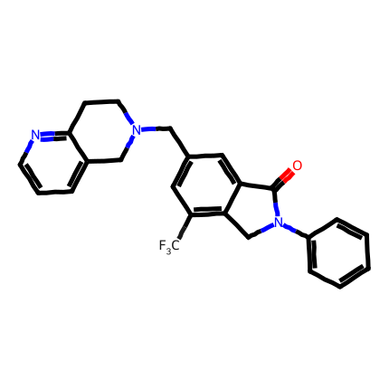 O=C1c2cc(CN3CCc4ncccc4C3)cc(C(F)(F)F)c2CN1c1ccccc1